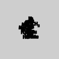 CC[C@@H](C)[C@H](NC(=O)[C@H](CO)NC)C(=O)N(C)[C@@H]([C@@H](C)CC)[C@@H](CC(=O)N1CCC[C@H]1[C@H](OC)[C@@H](C)C(=O)N[C@@H](Cc1ccccc1)c1nccs1)OC